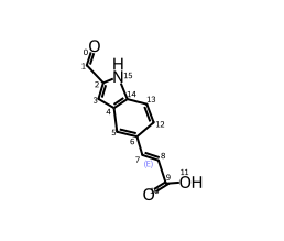 O=Cc1cc2cc(/C=C/C(=O)O)ccc2[nH]1